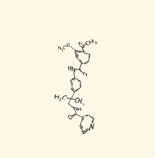 COc1ccc(C(=O)Nc2ccc(C(C)(C)CNC(=O)c3ccncc3)cc2)cc1OC